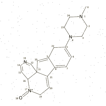 CN1CCN(C2=CC=C3C(=CC45C=NC=CC4[N+](=O)CC=C35)C2)CC1